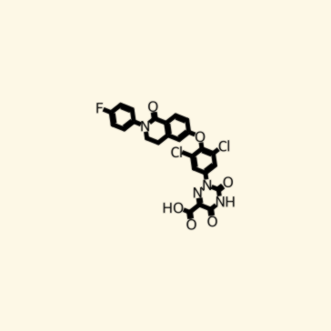 O=C(O)c1nn(-c2cc(Cl)c(Oc3ccc4c(c3)CCN(c3ccc(F)cc3)C4=O)c(Cl)c2)c(=O)[nH]c1=O